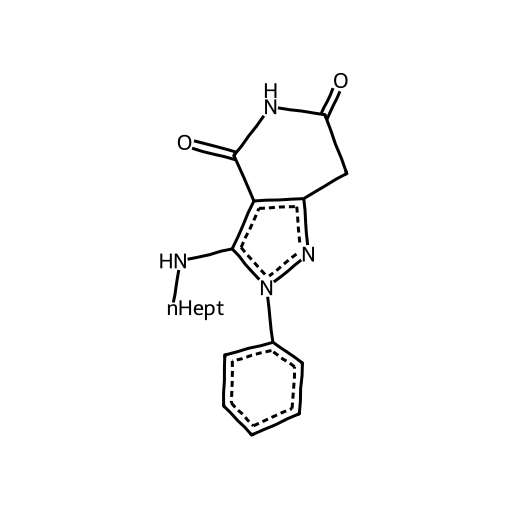 CCCCCCCNc1c2c(nn1-c1ccccc1)CC(=O)NC2=O